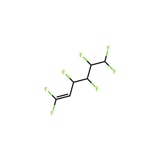 FC(F)=CC(F)C(F)C(F)C(F)F